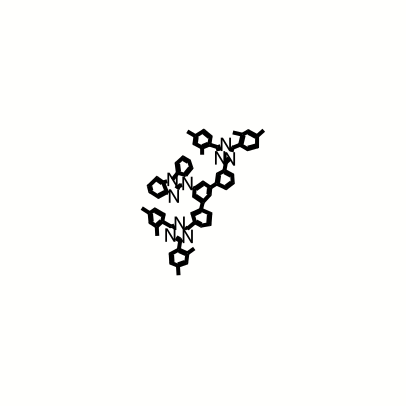 Cc1ccc(-c2nc(-c3cccc(-c4cc(-c5cccc(-c6nc(-c7ccc(C)cc7C)nc(-c7ccc(C)cc7C)n6)c5)cc(-n5c6ccccc6n6c7ccccc7nc56)c4)c3)nc(-c3ccc(C)cc3C)n2)c(C)c1